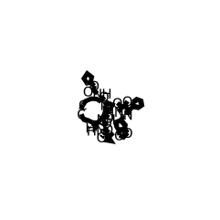 CC1(S(=O)(=O)NC(=O)[C@@]23C[C@H]2/C=C\CCCCC[C@H](NC(=O)OC2CCCC2)C(=O)N2C[C@H](Oc4nc(-c5ccc6c(c5)OCO6)nc5c4oc4ccccc45)C[C@H]2C(=O)N3)CC1